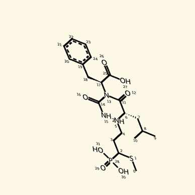 CSC(CCN[C@@H](CC(C)C)C(=O)N(C(N)=O)[C@@H](Cc1ccccc1)C(=O)O)P(=O)(O)O